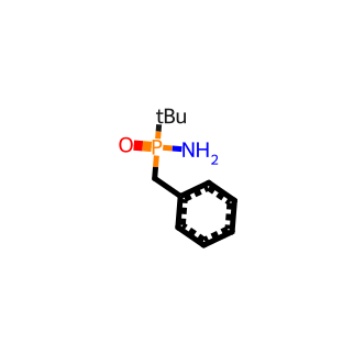 CC(C)(C)P(N)(=O)Cc1ccccc1